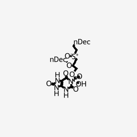 CCCCCCCCCCCC[S+]([O-])CC(COP(=O)(O)n1c(=O)[nH]c2[nH]c(=O)[nH]c2c1=O)OCCCCCCCCCC